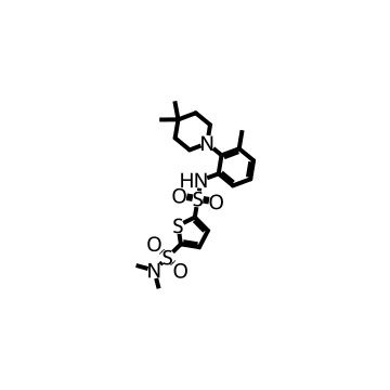 Cc1cccc(NS(=O)(=O)c2ccc(S(=O)(=O)N(C)C)s2)c1N1CCC(C)(C)CC1